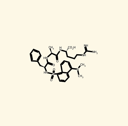 C[C@H](NC(=O)[C@H](Cc1ccccc1)NS(=O)(=O)c1cccc2c(N(C)C)cccc12)C(=O)N[C@@H](CCCNC(=N)N)C(=O)O